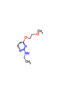 CCNc1nccc(OCCOC)n1